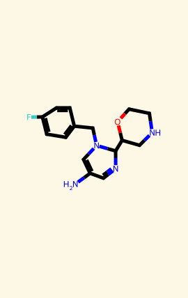 NC1=CN(Cc2ccc(F)cc2)C(C2CNCCO2)N=C1